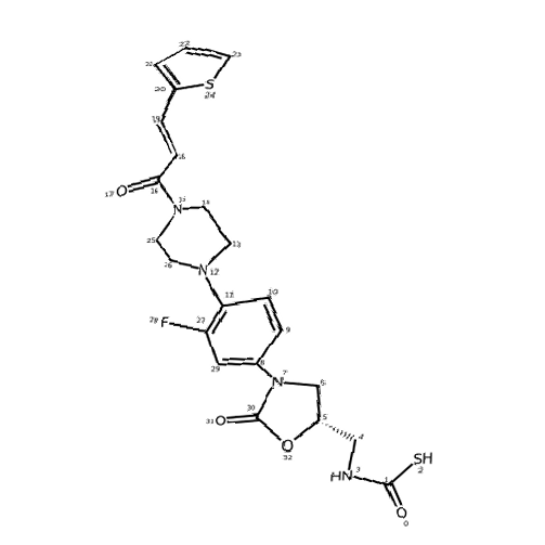 O=C(S)NC[C@H]1CN(c2ccc(N3CCN(C(=O)/C=C/c4cccs4)CC3)c(F)c2)C(=O)O1